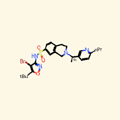 CCCc1ccc([C@@H](C)N2CCc3ccc(S(=O)(=O)Nc4noc(C(C)(C)C)c4Br)cc3C2)cn1